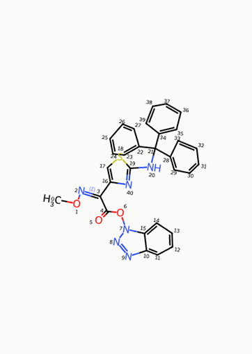 CO/N=C(\C(=O)On1nnc2ccccc21)c1csc(NC(c2ccccc2)(c2ccccc2)c2ccccc2)n1